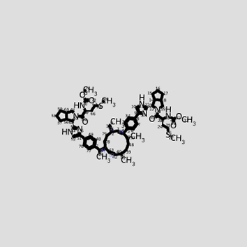 C/C=C1\C=C(\c2ccc(-c3c[nH]c([C@@H]4C5CCCC5CN4C(=O)[C@H](CCSC)NC(=O)OC)n3)cc2)[C@H](C)CC[C@@H](C)/C=C\C(=C(/C)c2ccc(-c3c[nH]c([C@@H]4C5CCCC5CN4C(=O)[C@H](CCSC)NC(=O)OC)n3)cc2)CC1